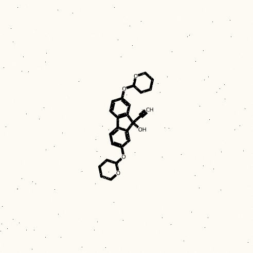 C#CC1(O)c2cc(OC3CCCCO3)ccc2-c2ccc(OC3CCCCO3)cc21